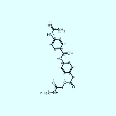 CCCCCCNC(=O)COC(=O)Cc1ccc(OC(=O)c2ccc(NC(=N)N)cc2)cc1